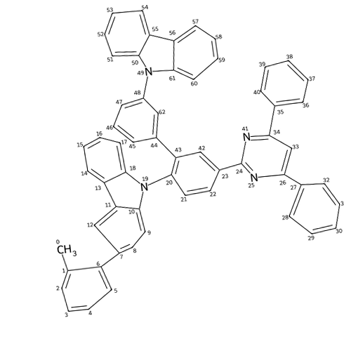 Cc1ccccc1-c1ccc2c(c1)c1ccccc1n2-c1ccc(-c2nc(-c3ccccc3)cc(-c3ccccc3)n2)cc1-c1cccc(-n2c3ccccc3c3ccccc32)c1